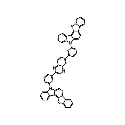 c1cc(-c2ccc3nc(-c4cccc(-n5c6ccccc6c6c7sc8ccccc8c7ccc65)c4)cnc3c2)cc(-n2c3ccccc3c3c4sc5ccccc5c4ccc32)c1